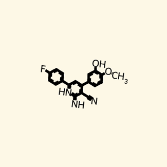 COc1ccc(-c2cc(-c3ccc(F)cc3)[nH]c(=N)c2C#N)cc1O